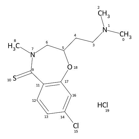 CN(C)CCC1CN(C)C(=S)c2ccc(Cl)cc2O1.Cl